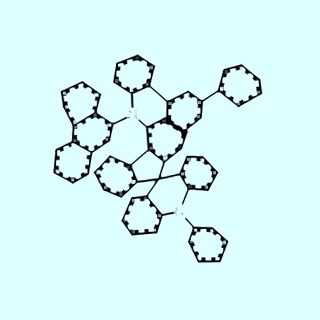 c1ccc(-c2cccc(-c3ccccc3N(c3cccc4c3-c3ccccc3C43c4ccccc4N(c4ccccc4)c4ccccc43)c3cc4ccccc4c4ccccc34)c2)cc1